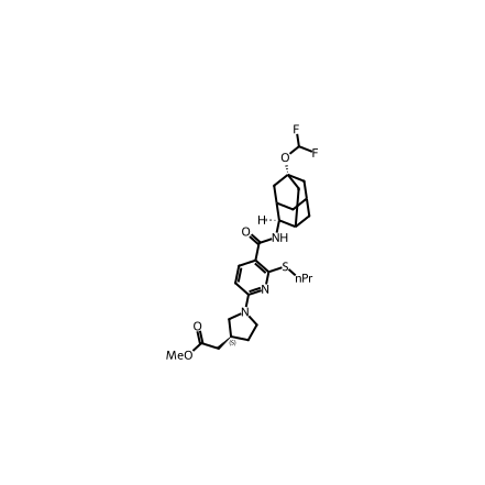 CCCSc1nc(N2CC[C@@H](CC(=O)OC)C2)ccc1C(=O)N[C@H]1C2CC3CC1C[C@](OC(F)F)(C3)C2